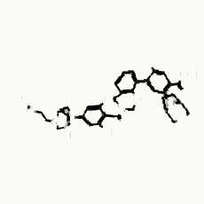 COCCN1C[PH2]2CC1CN2c1cc(Cl)c(C(=O)N2COc3c(cccc3-c3cc(N4C5CCC4COC5)c(C(=O)O)cc3F)C2)c(Cl)c1